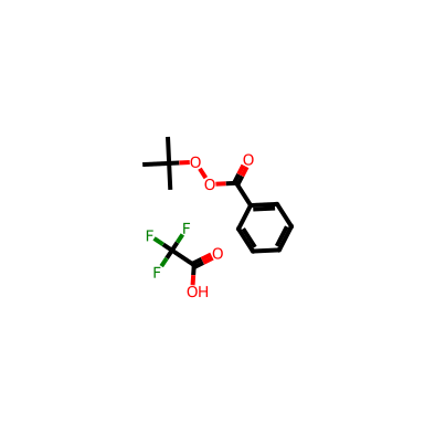 CC(C)(C)OOC(=O)c1ccccc1.O=C(O)C(F)(F)F